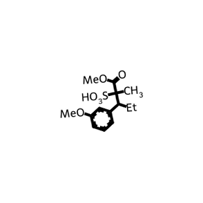 CCC(c1cccc(OC)c1)C(C)(C(=O)OC)S(=O)(=O)O